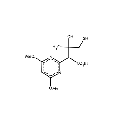 CCOC(=O)C(c1nc(OC)cc(OC)n1)C(C)(O)CS